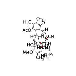 COc1c(C)cc2c(c1O)[C@H]1C3[C@@H]4SCC(NC(=O)C(N)C(C)C)C(=O)OC[C@@H](c5c6c(c(C)c(OC(C)=O)c54)OCO6)N3[C@@H](C#N)[C@@H](C2)N1C